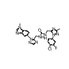 Cc1nc(CNC(=O)NCc2ncnn2-c2ccc3c(c2)ncn3C)n(-c2ccc(Cl)c(F)c2)n1